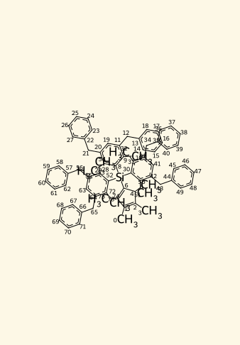 CC1=C(C)C(C)C([Si](c2c(C)c(Cc3ccccc3)cc(Cc3ccccc3)c2C)(c2c(C)c(Cc3ccccc3)cc(Cc3ccccc3)c2C)c2c(C)c(Cc3ccccc3)cc(Cc3ccccc3)c2C)=C1C